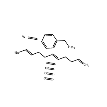 C=CCCC=CCCC=CCCCC.[CH]OCc1ccccc1.[C]=O.[C]=O.[C]=O.[C]=O.[C]=O.[W]